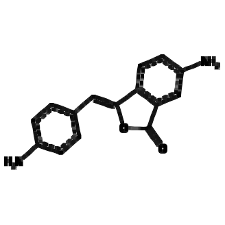 Nc1ccc(C=C2OC(=O)c3cc(N)ccc32)cc1